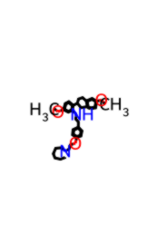 COc1ccc2c(c1)CCC(c1ccc(OC)cc1NCCc1ccc(OCCN3CCCCCC3)cc1)C2